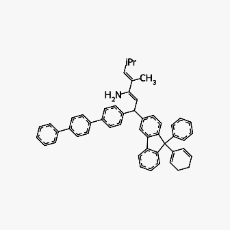 CC(=C\C(C)C)/C(N)=C/C(c1ccc(-c2ccc(-c3ccccc3)cc2)cc1)c1ccc2c(c1)-c1ccccc1C2(C1=CCCC=C1)c1ccccc1